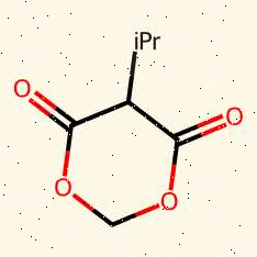 CC(C)C1C(=O)OCOC1=O